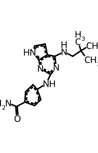 CC(C)(C)CNc1nc(Nc2ccc(C(N)=O)cc2)nc2[nH]ccc12